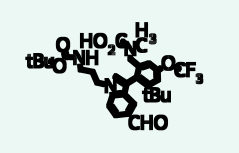 CN(Cc1cc(OC(F)(F)F)cc(C(C)(C)C)c1-c1cn(CCCNC(=O)OC(C)(C)C)c2ccc(C=O)cc12)C(=O)O